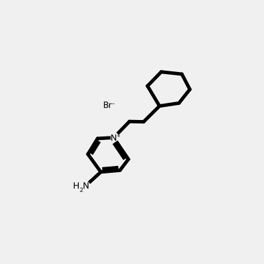 Nc1cc[n+](CCC2CCCCC2)cc1.[Br-]